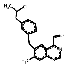 Cc1cc2ncnc(C=O)c2cc1Cc1cccc(SC(C)Cl)c1